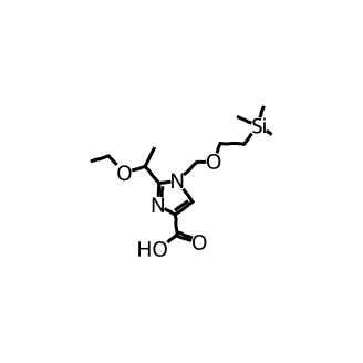 CCOC(C)c1nc(C(=O)O)cn1COCC[Si](C)(C)C